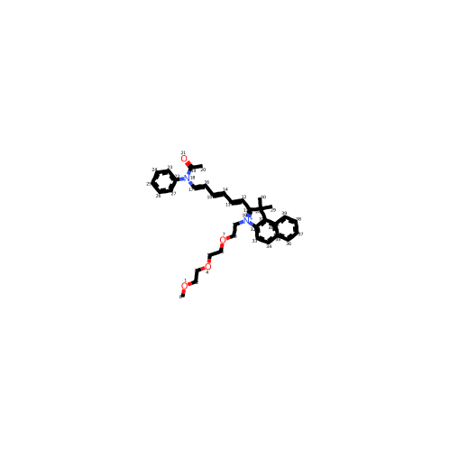 COCCOCCOCC[N+]1=C(/C=C/C=C/C=C/N(C(C)=O)c2ccccc2)C(C)(C)c2c1ccc1ccccc21